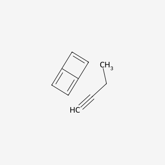 C#CCC.c1cc2ccc1-2